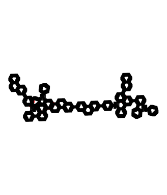 c1ccc(-n2c3ccccc3c3c(-c4cccc(-c5ccccc5N(c5ccc(-c6ccc7ccccc7c6)cc5)c5ccc(-c6ccc7c(ccc8cc(-c9ccc%10c(ccc%11cc(-c%12ccc(N(c%13ccc(-c%14ccc%15c(ccc%16ccccc%16%15)c%14)cc%13)c%13ccccc%13-c%13cccc(-c%14cccc%15c%14c%14ccccc%14n%15-c%14ccccc%14)c%13)cc%12)ccc%11%10)c9)ccc87)c6)cc5)c4)cccc32)cc1